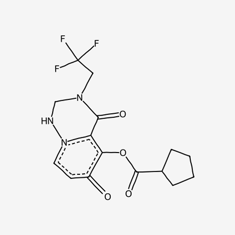 O=C(Oc1c2n(ccc1=O)NCN(CC(F)(F)F)C2=O)C1CCCC1